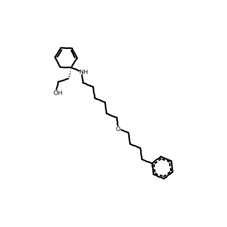 OCC[C@@]1(NCCCCCCOCCCCc2ccccc2)C=CC=CC1